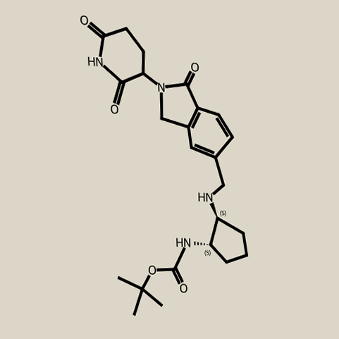 CC(C)(C)OC(=O)N[C@H]1CCC[C@@H]1NCc1ccc2c(c1)CN(C1CCC(=O)NC1=O)C2=O